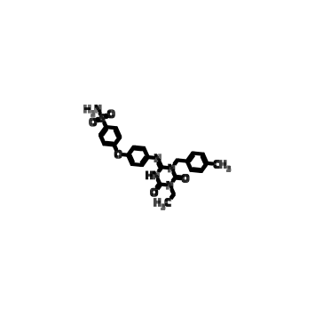 CCn1c(=O)[nH]/c(=N\c2ccc(Oc3ccc(S(N)(=O)=O)cc3)cc2)n(Cc2ccc(C)cc2)c1=O